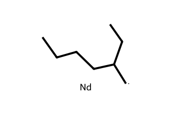 [CH2]C(CC)CCCC.[Nd]